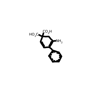 NC1=C(c2ccccc2)C=CC(C(=O)O)(C(=O)O)C1